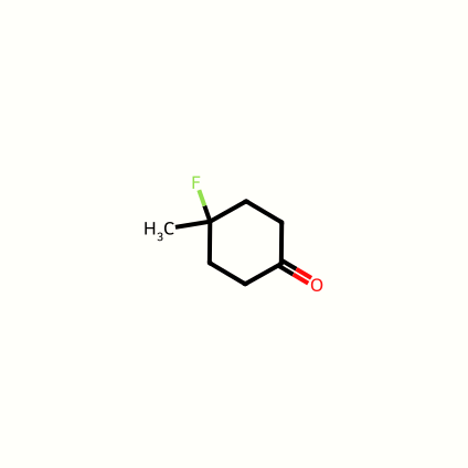 CC1(F)CCC(=O)CC1